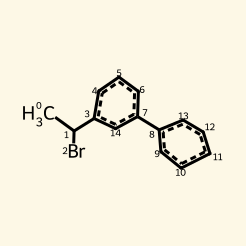 CC(Br)c1cccc(-c2ccccc2)c1